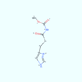 CC(C)(C)OC(=O)NC(=O)CCc1c[nH]cn1